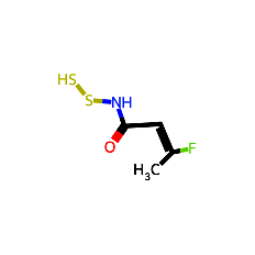 C/C(F)=C\C(=O)NSS